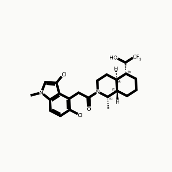 C[C@H]1[C@H]2CCC[C@@H](C(O)C(F)(F)F)[C@@H]2CCN1C(=O)Cc1c(Cl)ccc2c1c(Cl)cn2C